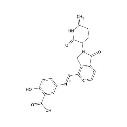 C=C1CCC(N2Cc3c(/N=N/c4ccc(O)c(C(=O)O)c4)cccc3C2=O)C(=O)N1